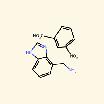 NCc1cccc2[nH]cnc12.O=C(O)c1cccc([N+](=O)[O-])c1